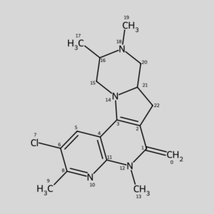 C=C1C2=C(c3cc(Cl)c(C)nc3N1C)N1CC(C)N(C)CC1C2